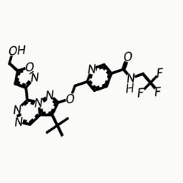 CC(C)(C)c1c(OCc2ccc(C(=O)NCC(F)(F)F)cn2)nn2c(-c3cc(CO)on3)nncc12